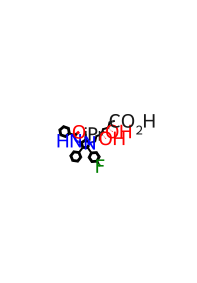 CC(C)c1c(NC(=O)c2ccccc2)c(-c2ccccc2)c(-c2ccc(F)cc2)n1CC[C@@H](O)C[C@@H](O)CC(=O)O